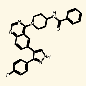 O=C(NC1CCN(c2ncnc3ccc(-c4c[nH]nc4-c4ccc(F)cc4)cc23)CC1)c1ccccc1